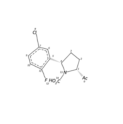 CC(=O)[C@H]1CC[C@@H](c2cc(Cl)ccc2F)N1C(=O)O